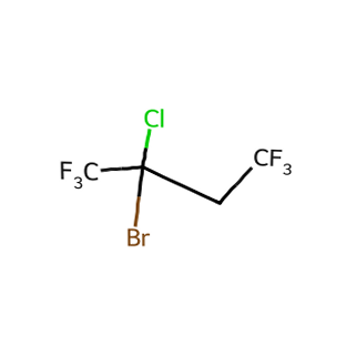 FC(F)(F)CC(Cl)(Br)C(F)(F)F